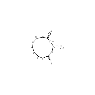 CC1CC(=O)CCCCCCCC(=O)C1